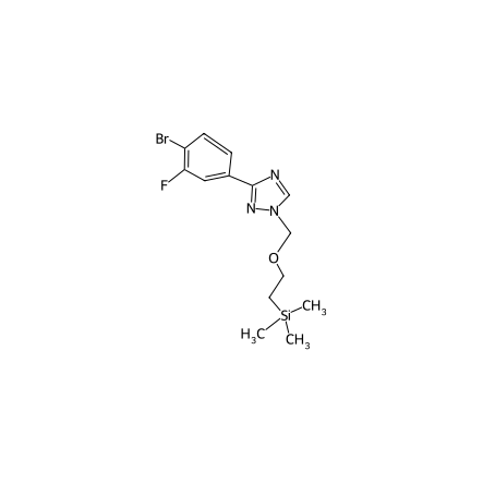 C[Si](C)(C)CCOCn1cnc(-c2ccc(Br)c(F)c2)n1